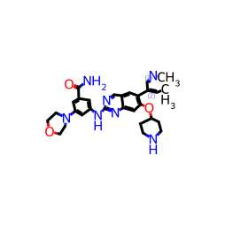 C/C=C(\C=N/C)c1cc2cnc(Nc3cc(C(N)=O)cc(N4CCOCC4)c3)nc2cc1OC1CCNCC1